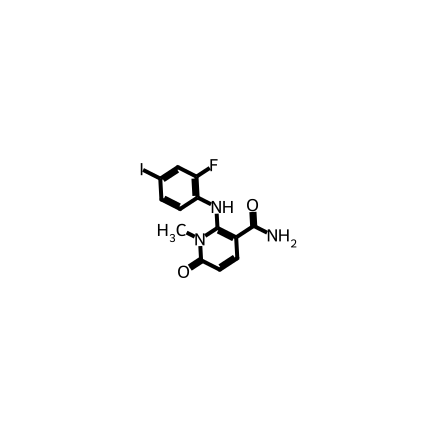 Cn1c(Nc2ccc(I)cc2F)c(C(N)=O)ccc1=O